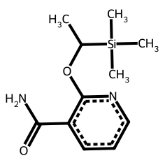 CC(Oc1ncccc1C(N)=O)[Si](C)(C)C